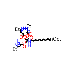 CCCCCCCCC=CCCCCCCCC(=O)NC(COC(=O)CCC(N)CC)(COC(=O)CCC(N)CC)COC(=O)CCC(N)CC